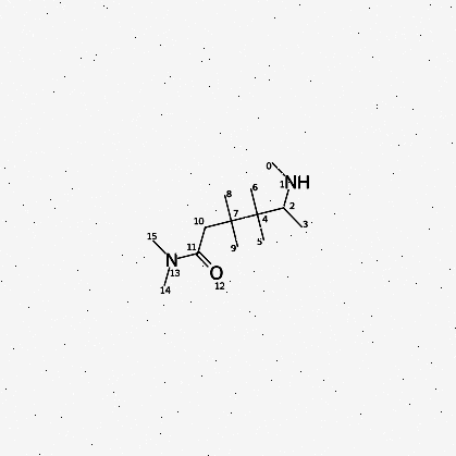 CNC(C)C(C)(C)C(C)(C)CC(=O)N(C)C